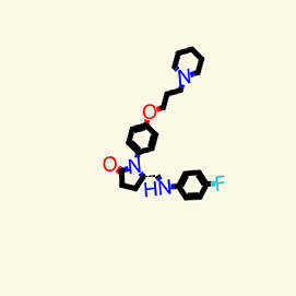 O=C1CC[C@@H](CNc2ccc(F)cc2)N1c1ccc(OCCCN2CCCCC2)cc1